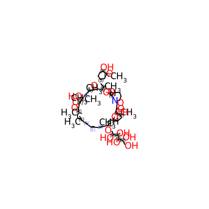 CO[C@@H]1C[C@H](C[C@@H](C)[C@@H]2CC(=O)[C@H](C)/C=C(\C)[C@@H](O)[C@@H](OC)C(=O)[C@H](C)C[C@H](C)/C=C/C=C/C=C(\C)C(OC[C@@H](O)[C@@H](O)[C@H](O)[C@H](O)CO)C[C@@H]3CC[C@@H](C)[C@@](O)(O3)C(=O)C(=O)N3CCCC[C@H]3C(=O)O2)CC[C@H]1O